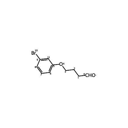 O=[C]CCCOc1cccc(Br)c1